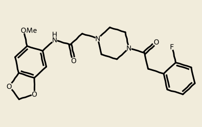 COc1cc2c(cc1NC(=O)CN1CCN(C(=O)Cc3ccccc3F)CC1)OCO2